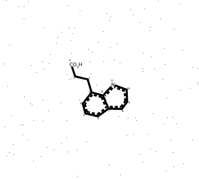 O=C(O)CCc1cccc2cccnc12